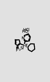 Cl.Cl.FC1=[C]([Hf]([SiH3])([c]2ccccn2)[CH]2CCCCC2)CC=C1